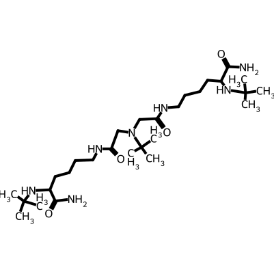 CC(C)(C)NC(CCCCNC(=O)CN(CC(=O)NCCCCC(NC(C)(C)C)C(N)=O)C(C)(C)C)C(N)=O